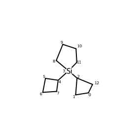 C1CC([Si]2(C3CCC3)CCCC2)C1